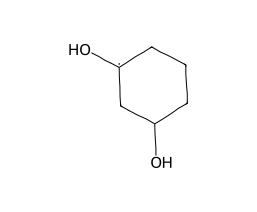 O[C]1CCCC(O)C1